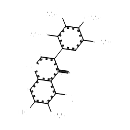 COc1cc(-c2coc3cc(O)c(OC)c(O)c3c2=O)c(OC)c(OC)c1OC